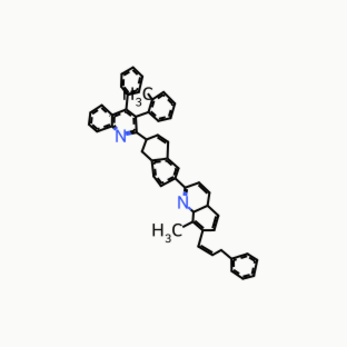 CC1=C(/C=C\Cc2ccccc2)C=CC2C=CC(c3ccc4c(c3)C=CC(c3nc5ccccc5c(-c5ccccc5)c3-c3ccccc3C)C4)=NC12